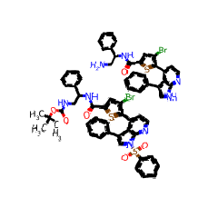 CC(C)(C)OC(=O)NCC(NC(=O)c1cc(Br)c(-c2ccnc3c2c(-c2ccccc2)cn3S(=O)(=O)c2ccccc2)s1)c1ccccc1.NCC(NC(=O)c1cc(Br)c(-c2ccnc3[nH]cc(-c4ccccc4)c23)s1)c1ccccc1